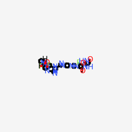 COc1cc(N2CCN([C@H]3CC[C@H](n4cc(-c5cn6ncc(C#N)c6c(-c6ccc(N7C[C@H]8CCC[C@@H](C7)N8C(=O)c7c(F)cccc7F)nc6)n5)cn4)CC3)CC2)c(F)cc1NC1CCC(=O)NC1=O